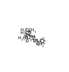 COC(=O)[C@H](CC(=O)O/N=C(\N)c1ccccc1)NC(=O)OC(C)(C)C